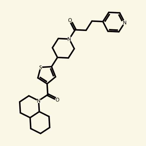 O=C(CCc1ccncc1)N1CCC(c2cc(C(=O)N3CCCC4CCCCC43)cs2)CC1